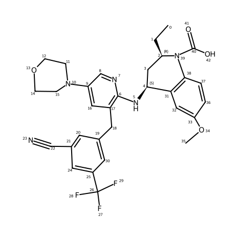 CC[C@@H]1C[C@H](Nc2ncc(N3CCOCC3)cc2Cc2cc(C#N)cc(C(F)(F)F)c2)c2cc(OC)ccc2N1C(=O)O